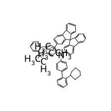 CC(C)(C)c1ccc2c(c1)C1(c3ccccc3-c3ccc(N(c4ccc(-c5ccccc5C5CCCCC5)cc4)c4ccc5c(c4)C(C)(C)c4ccccc4-5)cc31)c1ccccc1-2